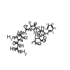 CC(C)CC(NC(=O)C(Cc1ccccc1)NC(=O)CNC(=O)C(C)NC(=O)CNc1nc(N)c(C(=O)NC(=N)N)nc1Cl)C(=O)O